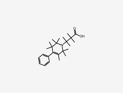 CC1=C(c2ccccc2)C(C)(C)C(C)(C)N(C(C)(C)C(C)(C)C(=O)O)C1(C)C